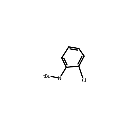 CC(C)(C)[N]c1ccccc1Cl